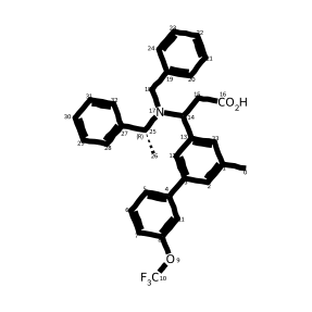 Cc1cc(-c2cccc(OC(F)(F)F)c2)cc(C(CC(=O)O)N(Cc2ccccc2)[C@H](C)c2ccccc2)c1